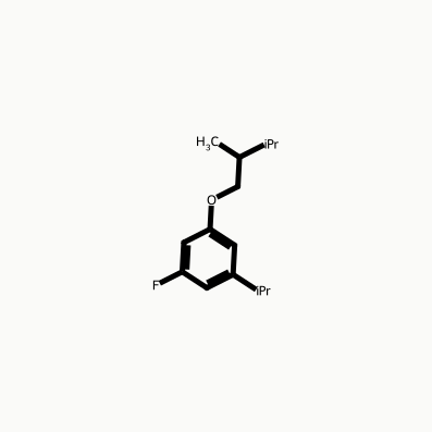 CC(C)c1cc(F)cc(OCC(C)C(C)C)c1